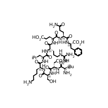 CC[C@H](C)[C@H](N)C(=O)N[C@@H](CC(=O)O)C(=O)N[C@@H](CO)C(=O)N[C@@H](CCCCN)C(=O)N[C@@H](CC(C)C)C(=O)N[C@@H](CCCNC(=N)N)C(=O)N[C@@H](CCC(=O)O)C(=O)N[C@@H](CCC(N)=O)C(=O)N[C@@H](Cc1ccccc1)C(=O)O